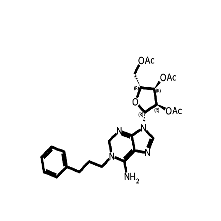 CC(=O)OC[C@H]1O[C@@H](n2cnc3c2=NCN(CCCc2ccccc2)C=3N)[C@H](OC(C)=O)[C@@H]1OC(C)=O